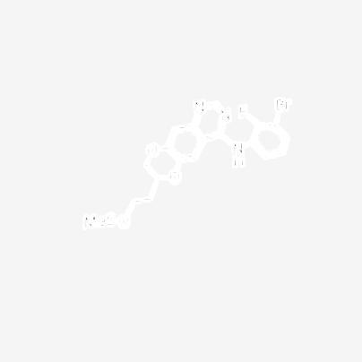 CSOCCC1COc2cc3ncnc(Nc4cccc(Br)c4F)c3cc2O1